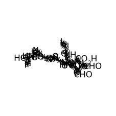 C#C[C@H]1CC(F)(F)CN1C(=O)CNC(=O)c1ccnc2ccc(OCCCCN3CCN(C(=O)CCCCCNC(=O)C(CSCCNC(=O)CCCc4ccc(I)cc4)NC(=O)CN4CCN(COC=O)CCN(COC=O)CCN(CC(=O)O)CC4)CC3)cc12